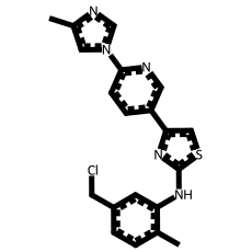 Cc1cn(-c2ccc(-c3csc(Nc4cc(CCl)ccc4C)n3)cn2)cn1